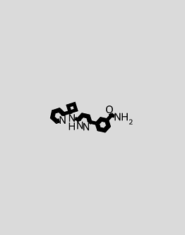 NC(=O)c1cccc(-c2ccc(NC3(c4ccccn4)CCC3)nn2)c1